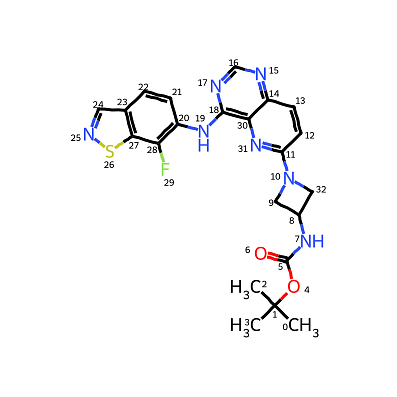 CC(C)(C)OC(=O)NC1CN(c2ccc3ncnc(Nc4ccc5cnsc5c4F)c3n2)C1